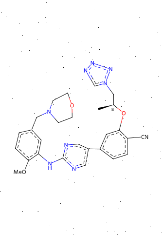 COc1ccc(CN2CCOCC2)cc1Nc1ncc(-c2ccc(C#N)c(O[C@@H](C)Cn3cnnn3)c2)cn1